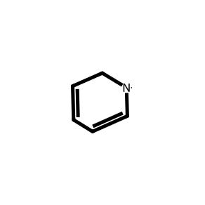 C1=CC[N]C=C1